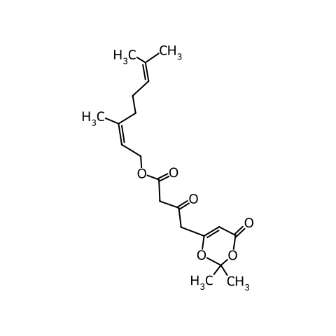 CC(C)=CCCC(C)=CCOC(=O)CC(=O)CC1=CC(=O)OC(C)(C)O1